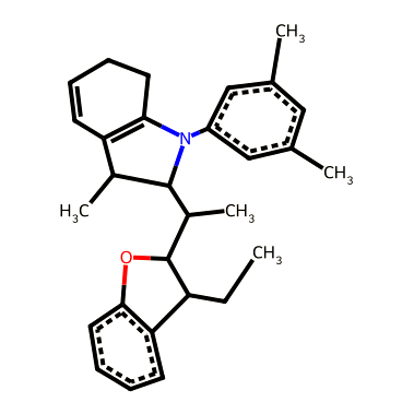 CCC1c2ccccc2OC1C(C)C1C(C)C2=C(CCC=C2)N1c1cc(C)cc(C)c1